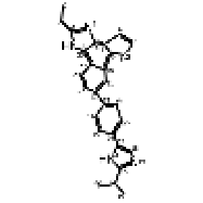 CCc1nc2c3ccsc3c3cc(-c4ccc(-c5cnc(C(C)C)[nH]5)cc4)ccc3c2[nH]1